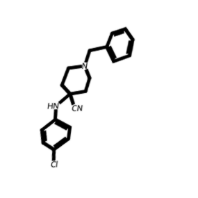 N#CC1(Nc2ccc(Cl)cc2)CCN(Cc2ccccc2)CC1